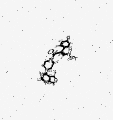 CC(C)NCC(C(=O)N1CCN(c2ncnc3c2[C@@H](C)OC3)CC1)c1ccc(Cl)cc1